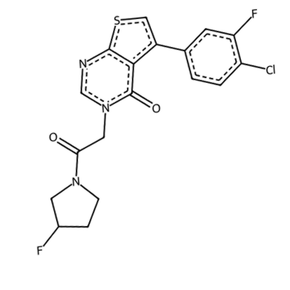 O=C(Cn1cnc2scc(-c3ccc(Cl)c(F)c3)c2c1=O)N1CCC(F)C1